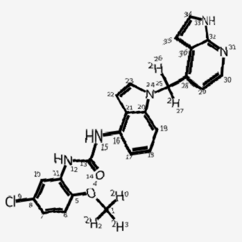 [2H]C([2H])([2H])Oc1ccc(Cl)cc1NC(=O)Nc1cccc2c1ccn2C([2H])([2H])c1ccnc2[nH]ccc12